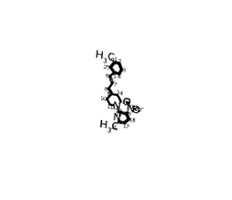 Cc1cccc(/C=C/C=C2CCN(c3nc(C)ccc3[N+](=O)[O-])CC2)c1